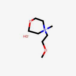 COCC[N+]1(C)CCOCC1.[OH-]